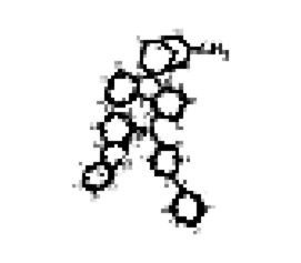 CC1C=C2CC(CCC23c2ccccc2-c2c(N(c4ccc(-c5ccccc5)cc4)c4cccc5c4sc4ccccc45)cccc23)C1